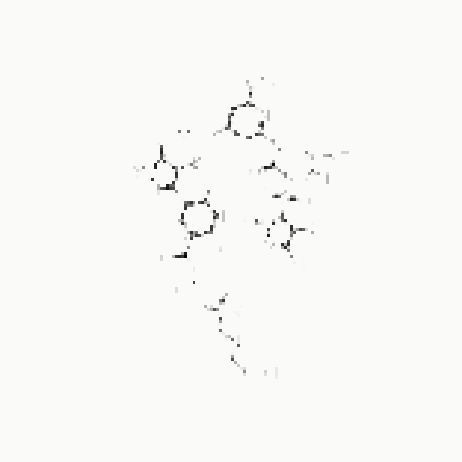 CC(C)OC(=O)c1cc(-c2nn(C)c(C(F)(F)F)c2Br)c(F)cc1Cl.COc1cc(OC)nc(NC(=O)NS(=O)(=O)c2c(C(=O)O)c(Cl)nn2C)n1.C[S+](C)C.O=C(O)CNCP(=O)([O-])O